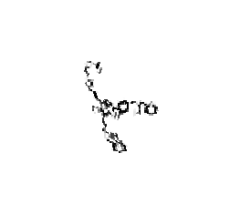 CCCCOCCCNC(=O)[C@H](CCCNCc1ccccn1)NC(=O)c1ccc(CNCc2ccccn2)cc1